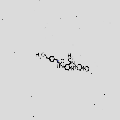 CCCc1ccc(/C=C/C(=O)Nc2ccc3nc(N4CCC(N5CCCC5)CC4)nc(C)c3c2)cc1